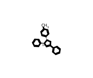 Cc1ccc([C@@H]2CC(c3ccccc3)=C[C@H]2c2ccccc2)cc1